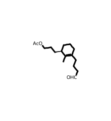 CC(=O)OCCC[C@H]1CCCC(CCCC=O)=C1C